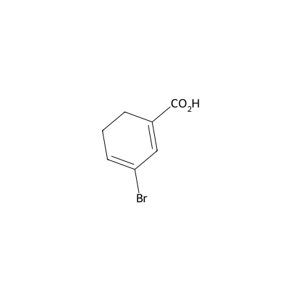 O=C(O)C1=CC(Br)=CCC1